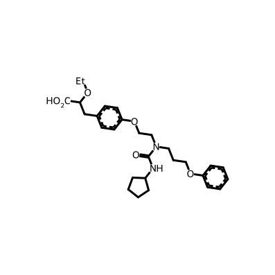 CCOC(Cc1ccc(OCCN(CCCOc2ccccc2)C(=O)NC2CCCC2)cc1)C(=O)O